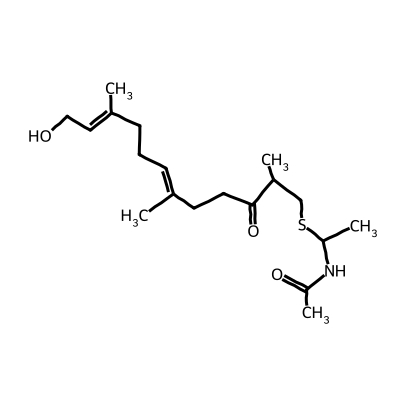 CC(=O)NC(C)SCC(C)C(=O)CCC(C)=CCCC(C)=CCO